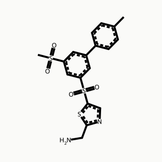 Cc1ccc(-c2cc(S(C)(=O)=O)cc(S(=O)(=O)c3cnc(CN)s3)c2)cc1